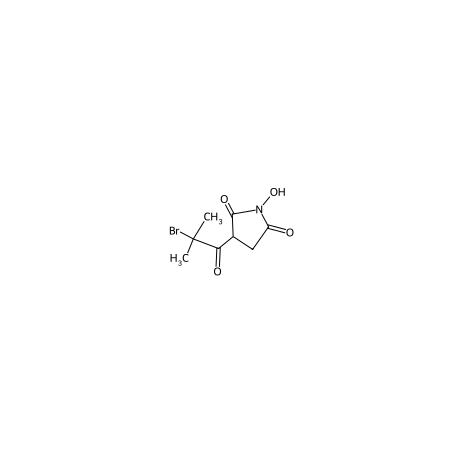 CC(C)(Br)C(=O)C1CC(=O)N(O)C1=O